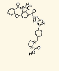 Cc1c(C(=O)NCc2cnc(-c3ccc(CN4CCC[C@H]4C(=O)O)cc3)s2)ccc2c1NC(=O)c1ccccc1O2